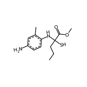 CCCC(S)(Nc1ccc(N)cc1C)C(=O)OC